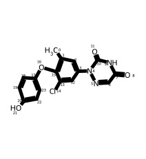 Cc1cc(-n2ncc(=O)[nH]c2=O)cc(Cl)c1Oc1ccc(O)cc1